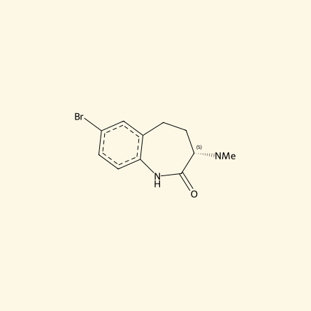 CN[C@H]1CCc2cc(Br)ccc2NC1=O